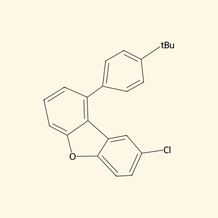 CC(C)(C)c1ccc(-c2cccc3oc4ccc(Cl)cc4c23)cc1